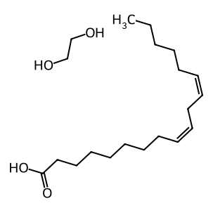 CCCCC/C=C\C/C=C\CCCCCCCC(=O)O.OCCO